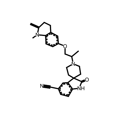 C=C1CCc2cc(OCC(C)N3CCC4(CC3)C(=O)Nc3ccc(C#N)cc34)ccc2N1C